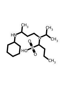 CCCC(N(CCC(C)NC1CCCCC1)C(C)C)S(=O)(=O)O